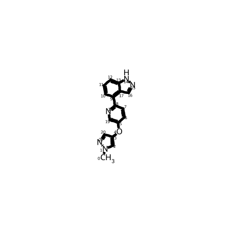 Cn1cc(Oc2ccc(-c3cccc4[nH]ncc34)nc2)cn1